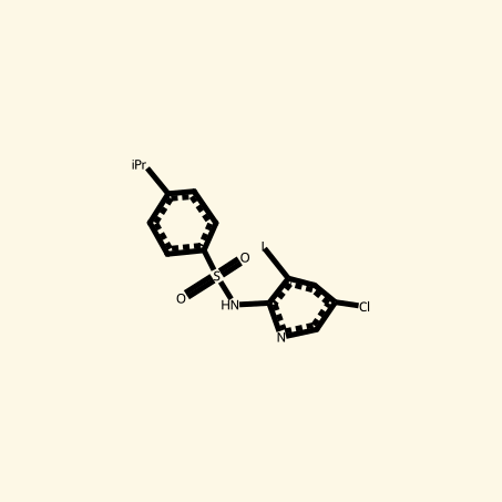 CC(C)c1ccc(S(=O)(=O)Nc2ncc(Cl)cc2I)cc1